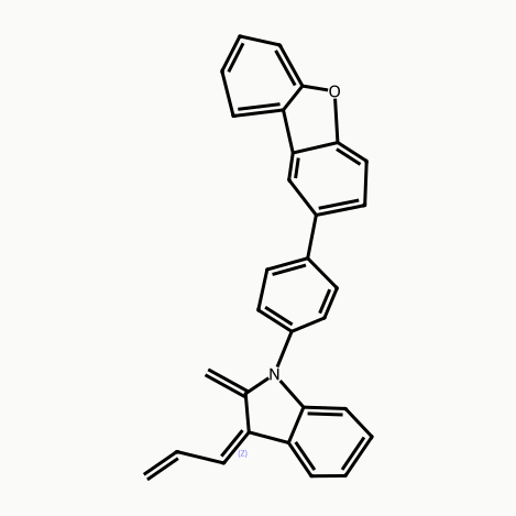 C=C/C=c1\c(=C)n(-c2ccc(-c3ccc4oc5ccccc5c4c3)cc2)c2ccccc12